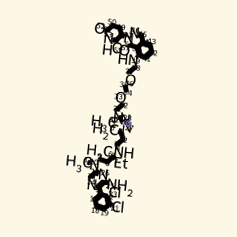 C=C(CCNC(C)(CC)CCN(C)c1cnc(-c2cccc(Cl)c2Cl)c(N)n1)/N=N\N(C)CCOCCOCCNc1cccc2cnn(C3CCC(=O)NC3=O)c(=O)c12